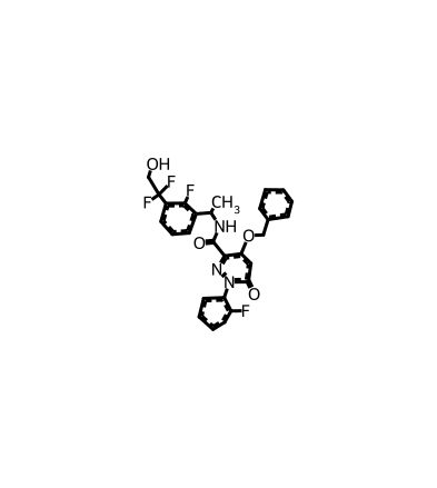 CC(NC(=O)c1nn(-c2ccccc2F)c(=O)cc1OCc1ccccc1)c1cccc(C(F)(F)CO)c1F